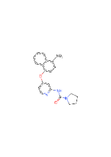 O=C(Nc1cc(Oc2ccc([N+](=O)[O-])c3ccccc23)ccn1)N1CCCC1